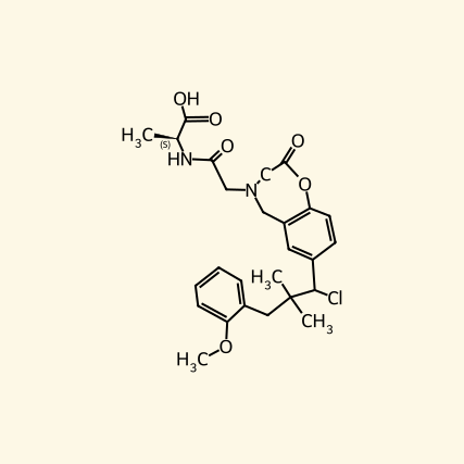 COc1ccccc1CC(C)(C)C(Cl)c1ccc2c(c1)CN(CC(=O)N[C@@H](C)C(=O)O)CC(=O)O2